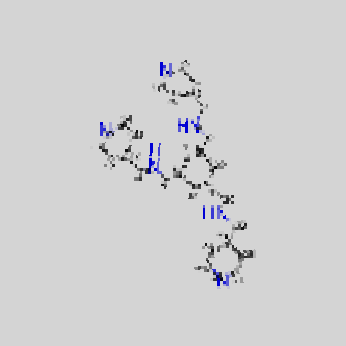 c1cc(CNCc2cc(CNCc3ccncc3)cc(CNCc3ccncc3)c2)ccn1